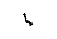 CCCCCCCCn1cc[n+](CCCS(=O)(=O)[O-])c1